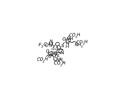 N[C@H](CCC(=O)N[C@@H](CSC(c1cncc(OC(F)(F)F)n1)C1CCCC(C(SC[C@H](NC(=O)CC[C@H](N)C(=O)O)C(=O)NCC(=O)O)c2cncc(OC(F)(F)F)n2)C1=O)C(=O)NCC(=O)O)C(=O)O